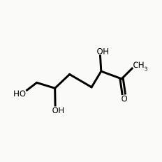 CC(=O)C(O)CCC(O)CO